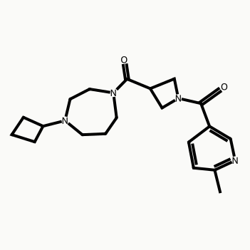 Cc1ccc(C(=O)N2CC(C(=O)N3CCCN(C4CCC4)CC3)C2)cn1